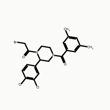 Cc1cc(C)cc(C(=O)N2CCN(C(=O)CBr)C(c3ccc(Cl)c(Cl)c3)C2)c1